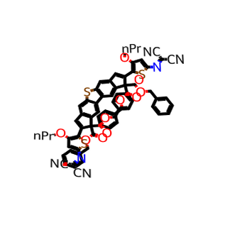 CCCOc1cc(N=C(C#N)C#N)sc1C1=Cc2cc3sc4cc5c(cc4c3cc2C1(C(=O)OCc1ccccc1)C(=O)OCc1ccccc1)C(C(=O)OCc1ccccc1)(C(=O)OCc1ccccc1)C(c1sc(N=C(C#N)C#N)cc1OCCC)=C5